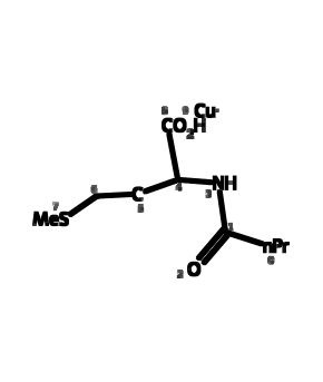 CCCC(=O)NC(CCSC)C(=O)O.[Cu]